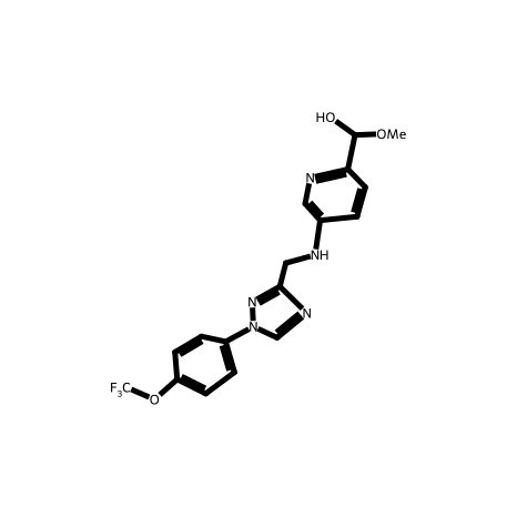 COC(O)c1ccc(NCc2ncn(-c3ccc(OC(F)(F)F)cc3)n2)cn1